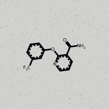 NC(=O)c1cccnc1Oc1cccc(C(F)(F)F)c1